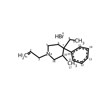 Br.C=CCN1CCC(CC)(c2ccccc2)C(C)C1